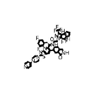 O=C(Cn1nc(C(F)(F)F)c2c1C(F)(F)[C@@H]1C=C=C[C@H]21)N[C@@H](Cc1cc(F)cc(F)c1)c1nc2nc(N3CCN(c4ccncc4)CC3)sc2cc1-c1ccc2c(c1)C(=O)NC2